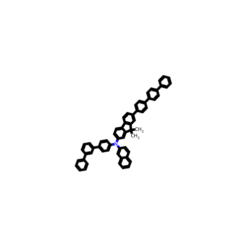 CC1(C)c2cc(-c3ccc(-c4ccc(-c5ccccc5)cc4)cc3)ccc2-c2ccc(N(c3ccc(-c4cccc(-c5ccccc5)c4)cc3)c3ccc4ccccc4c3)cc21